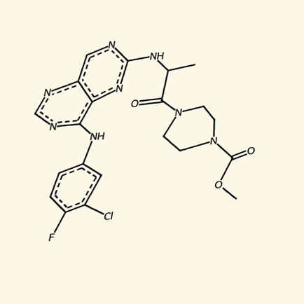 COC(=O)N1CCN(C(=O)C(C)Nc2ncc3ncnc(Nc4ccc(F)c(Cl)c4)c3n2)CC1